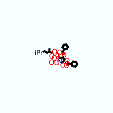 CC(C)CCC(C)C(=O)OOC(=O)ON1C(=O)[C@H](OC(=O)c2ccccc2)[C@@H](OC(=O)c2ccccc2)C1=O